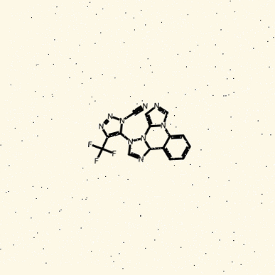 N#Cn1nnc(C(F)(F)F)c1N1C=NC2c3ccccc3-n3cncc3N21